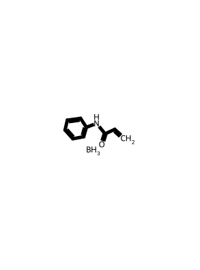 B.C=CC(=O)Nc1ccccc1